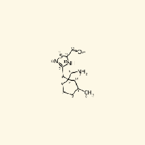 CC1CCCC(CN)(CC2=NSC(C=O)N2)C1